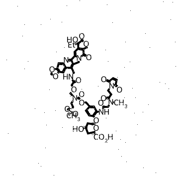 CC[C@@]1(O)C(=O)OCc2c1cc1n(c2=O)Cc2c-1nc1cc3c(cc1c2CNC(=O)COCN(CCS(C)(=O)=O)C(=O)OCc1ccc(O[C@H]2C[C@@H](O)C[C@@H](C(=O)O)O2)c(NC(=O)CN(C)C(=O)CCN2C(=O)C=CC2=O)c1)OCO3